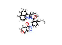 Cc1ccc(NC(=O)C2CCOCC2)cc1C(=O)N[C@H](C)c1cccc2ccccc12